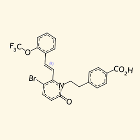 O=C(O)c1ccc(CCn2c(/C=C/c3ccccc3OC(F)(F)F)c(Br)ccc2=O)cc1